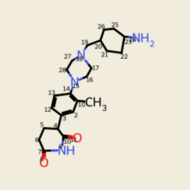 Cc1cc(C2CCC(=O)NC2=O)ccc1N1CCN(CC2CCC(N)CC2)CC1